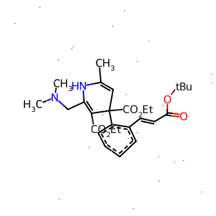 CCOC(=O)C1=C(CN(C)C)NC(C)=CC1(C(=O)OCC)c1ccccc1C=CC(=O)OC(C)(C)C